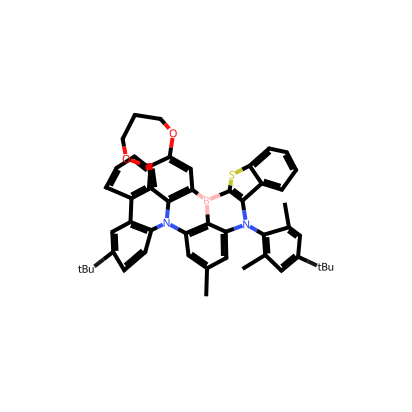 Cc1cc2c3c(c1)N(c1c(C)cc(C(C)(C)C)cc1C)c1c(sc4ccccc14)B3c1cc3c(cc1N2c1ccc(C(C)(C)C)cc1-c1ccccc1)OCCCO3